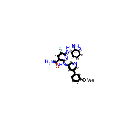 COc1cccc(-c2cncc(Nc3nc(N[C@@H]4CCCC[C@@H]4N)c(F)cc3C(N)=O)c2)c1